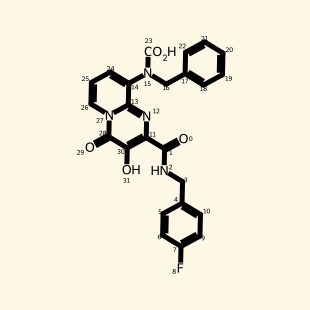 O=C(NCc1ccc(F)cc1)c1nc2c(N(Cc3ccccc3)C(=O)O)cccn2c(=O)c1O